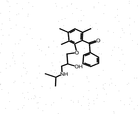 Cc1cc(C)c(C(=O)c2ccccc2)c(OCC(O)CNC(C)C)c1C